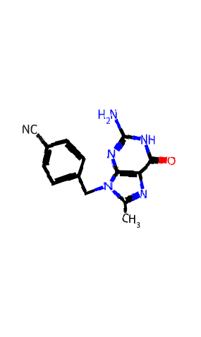 Cc1nc2c(=O)[nH]c(N)nc2n1Cc1ccc(C#N)cc1